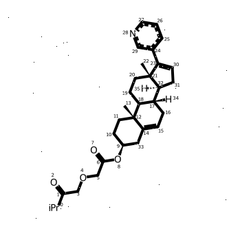 CC(C)C(=O)COCC(=O)O[C@H]1CC[C@@]2(C)C(=CC[C@@H]3C2CC[C@]2(C)C(c4cccnc4)=CC[C@@H]32)C1